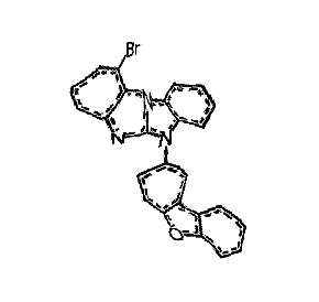 Brc1cccc2nc3n(-c4ccc5oc6ccccc6c5c4)c4ccccc4n3c12